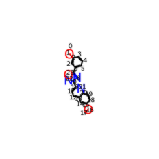 COc1cccc(-c2nc(-c3ccc4cc(OC)ccc4n3)no2)c1